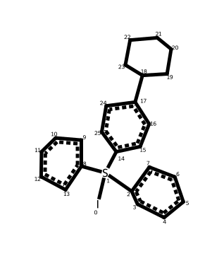 IS(c1ccccc1)(c1ccccc1)c1ccc(C2CCCCC2)cc1